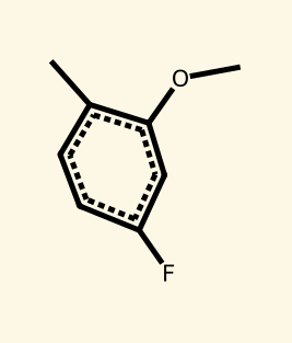 COc1cc(F)ccc1C